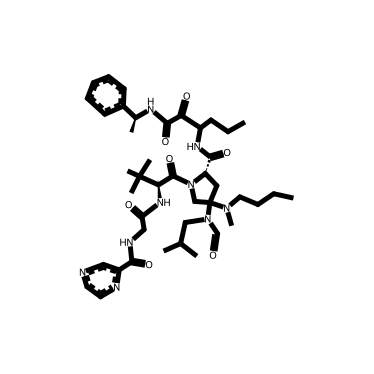 CCCCN(C)C1(N(C=O)CC(C)C)C[C@@H](C(=O)NC(CCC)C(=O)C(=O)N[C@@H](C)c2ccccc2)N(C(=O)[C@@H](NC(=O)CNC(=O)c2cnccn2)C(C)(C)C)C1